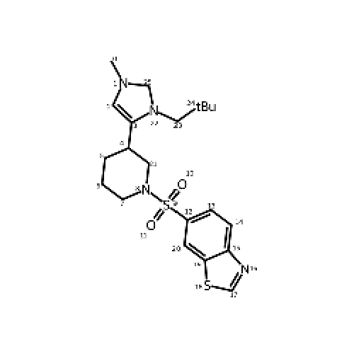 CN1C=C(C2CCCN(S(=O)(=O)c3ccc4ncsc4c3)C2)N(CC(C)(C)C)C1